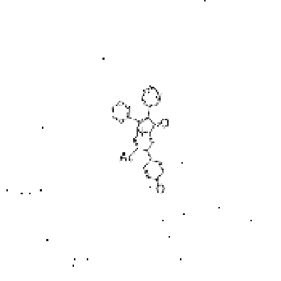 CC(=O)C1=CN2C(=CC1=C1C=CC(=O)C=C1)C(=O)C(c1ccccc1)=C2c1ccccc1